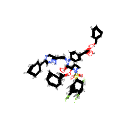 O=C(OCc1ccccc1)c1ccc(N(Cc2cnc(C3CCCCC3)cn2)C(=O)[C@]2(OCc3ccccc3)CCN2S(=O)(=O)c2cc(F)c(F)cc2F)cc1